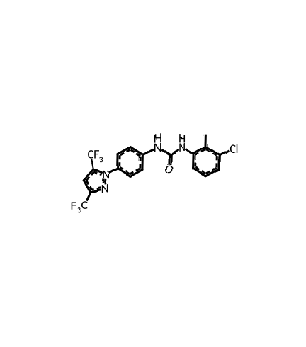 Cc1c(Cl)cccc1NC(=O)Nc1ccc(-n2nc(C(F)(F)F)cc2C(F)(F)F)cc1